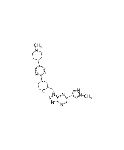 CN1CCC(c2cnc(N3CCOC(Cn4nnc5ncc(-c6cnn(C)c6)nc54)C3)nc2)CC1